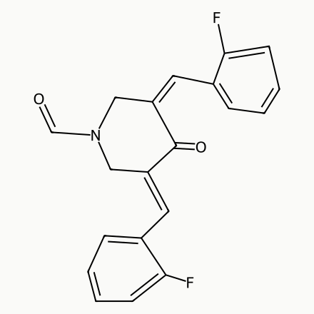 O=CN1CC(=Cc2ccccc2F)C(=O)C(=Cc2ccccc2F)C1